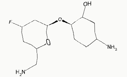 NCC1CC(F)C[C@@H](O[C@@H]2CCC(N)CC2O)O1